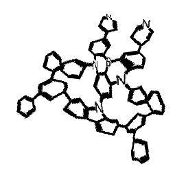 c1ccc(-c2cc(-c3ccccc3)cc(-c3ccc4c5ccc(-c6cc(-c7ccccc7)cc(-c7ccccc7)c6)cc5n(-c5cc6c7c(c5)N(c5ccccc5)c5ccc(-c8ccncc8)cc5B7c5cc(-c7ccncc7)ccc5N6c5ccccc5)c4c3)c2)cc1